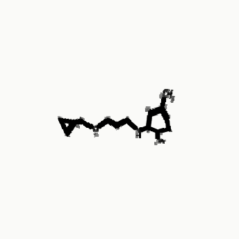 CC1CCC(C(C)C)C(NCCCOCC2CC2)C1